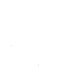 COc1cc(C2CC(C)=CCO2)ccc1O